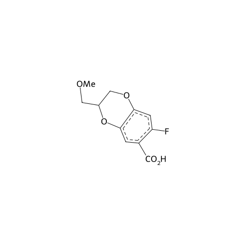 COCC1COc2cc(F)c(C(=O)O)cc2O1